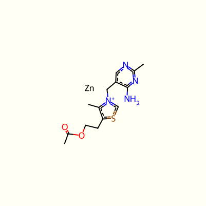 CC(=O)OCCc1sc[n+](Cc2cnc(C)nc2N)c1C.[Zn]